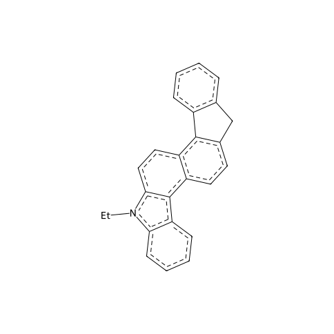 CCn1c2ccccc2c2c3ccc4c(c3ccc21)-c1ccccc1C4